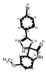 COc1ccc2c(c1)C1(NN=C(c3ccc(Br)cc3)S1)C(=O)N2